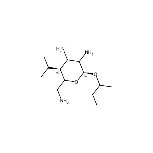 CCC(C)O[C@H]1OC(CN)[C@@H](C(C)C)C(N)C1N